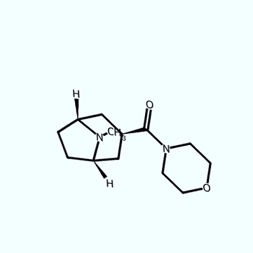 CN1[C@@H]2CC[C@H]1C[C@H](C(=O)N1CCOCC1)C2